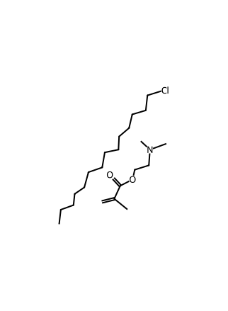 C=C(C)C(=O)OCCN(C)C.CCCCCCCCCCCCCCCl